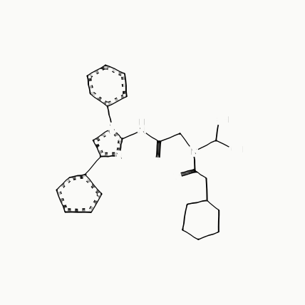 CC(C)N(CC(=O)Nc1nc(-c2ccccc2)cn1-c1ccccc1)C(=O)CC1CCCCC1